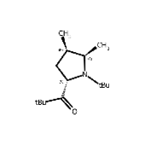 C[C@@H]1C[C@@H](C(=O)C(C)(C)C)N(C(C)(C)C)[C@@H]1C